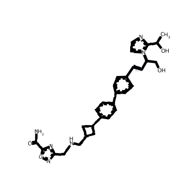 CC(O)c1nccn1C(/C=C/c1ccc(-c2ccc(C3CC(CNCc4noc(C(N)=O)n4)C3)cc2)cc1)CO